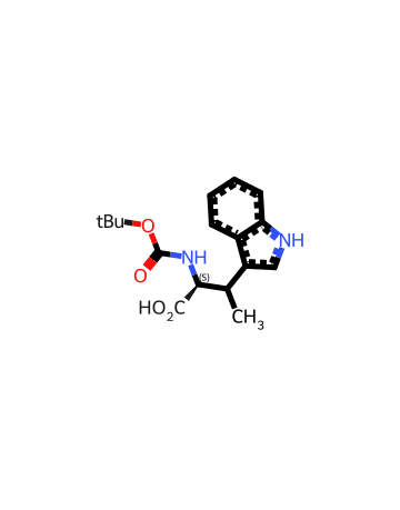 CC(c1c[nH]c2ccccc12)[C@H](NC(=O)OC(C)(C)C)C(=O)O